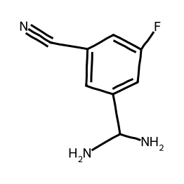 N#Cc1cc(F)cc(C(N)N)c1